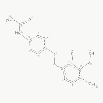 Cc1ccc(CCc2ccc(NC(=O)O)cc2)c(F)c1CO